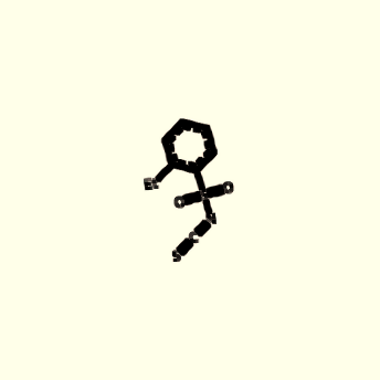 CCc1ccccc1S(=O)(=O)N=C=S